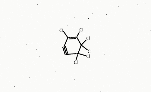 ClC1=C(Cl)C(Cl)(Cl)C(Cl)(Cl)C#C1